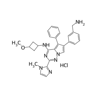 COC1CC(Nc2nc(-c3nccn3C)nn3cc(-c4cccc(CN)c4)c(-c4ccccc4)c23)C1.Cl